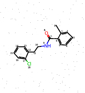 Cc1ccccc1C(=O)NCCc1ccccc1Cl